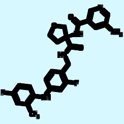 Nc1cncc(C(=O)N[C@@]2(C(=O)NCc3ccc(Nc4ccc(F)cc4C(F)(F)F)cc3F)CCOC2)c1